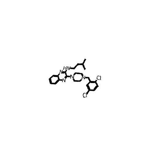 CC(C)CCNc1nc2ccccc2nc1N1CCN(Cc2cc(Cl)ccc2Cl)CC1